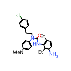 CCc1ccc(N)c(CC)c1NC(=O)N(CCc1ccc(Cl)cc1)c1ccc(NC)cc1